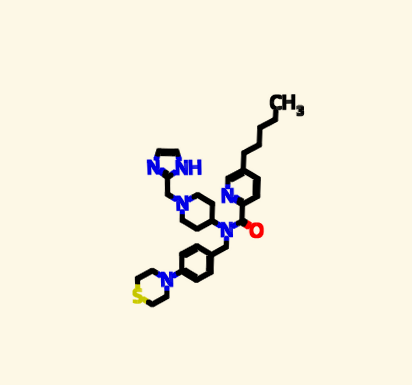 CCCCCc1ccc(C(=O)N(Cc2ccc(N3CCSCC3)cc2)C2CCN(Cc3ncc[nH]3)CC2)nc1